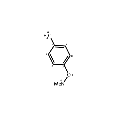 CNOc1ccc(C(F)(F)F)cc1